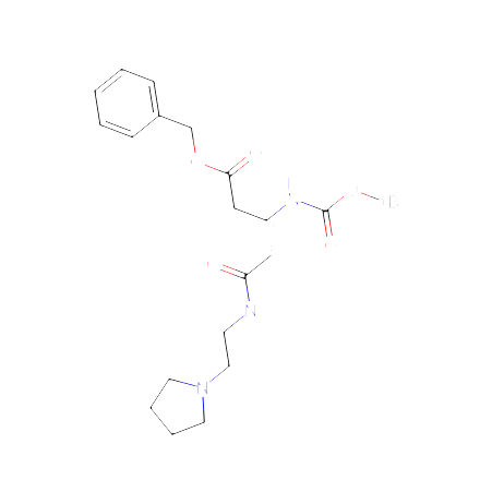 CC(C)(C)OC(=O)N[C@H](CC(=O)NCCN1CCCC1)CC(=O)OCc1ccccc1